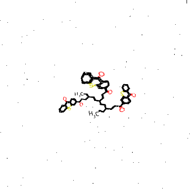 CCCC(CCC(=O)c1ccc2c(=O)c3ccccc3sc2c1)CCC(CCC(=O)c1ccc2c(=O)c3ccccc3sc2c1)CCC(CC)CCC(=O)c1ccc2c(=O)c3ccccc3sc2c1